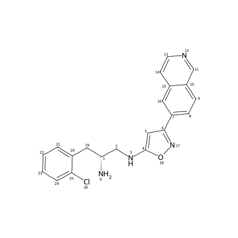 N[C@@H](CNc1cc(-c2ccc3cnccc3c2)no1)Cc1ccccc1Cl